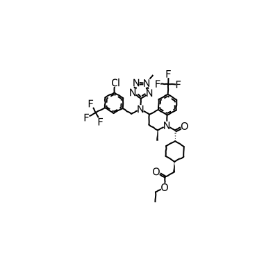 CCOC(=O)C[C@H]1CC[C@H](C(=O)N2c3ccc(C(F)(F)F)cc3C(N(Cc3cc(Cl)cc(C(F)(F)F)c3)c3nnn(C)n3)C[C@@H]2C)CC1